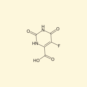 O=C(O)c1[nH]c(=O)[nH]c(=O)c1F